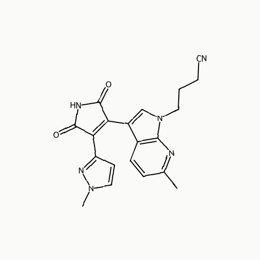 Cc1ccc2c(C3=C(c4ccn(C)n4)C(=O)NC3=O)cn(CCCC#N)c2n1